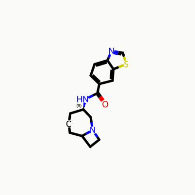 O=C(N[C@@H]1CCCC2CCN2C1)c1ccc2ncsc2c1